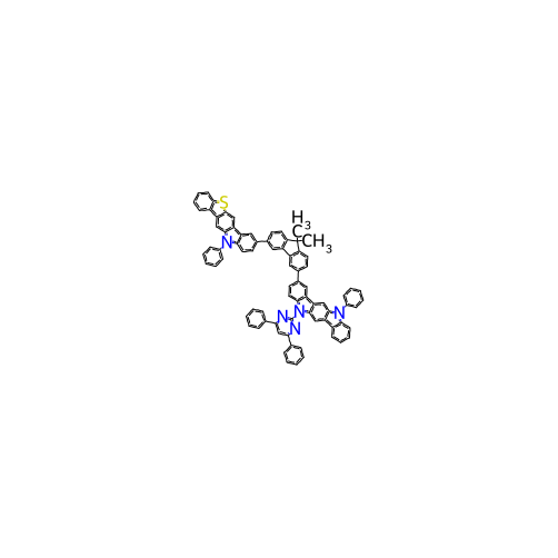 CC1(C)c2ccc(-c3ccc4c(c3)c3cc5sc6ccccc6c5cc3n4-c3ccccc3)cc2-c2cc(-c3ccc4c(c3)c3cc5c(cc3n4-c3nc(-c4ccccc4)cc(-c4ccccc4)n3)c3ccccc3n5-c3ccccc3)ccc21